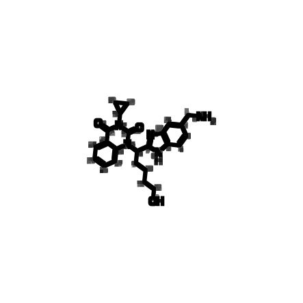 NCc1ccc2[nH]c(C(CCCCO)n3c(=O)n(C4CC4)c(=O)c4ccccc43)nc2c1